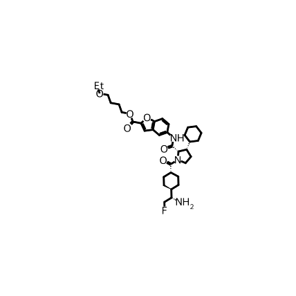 CCOCCCCOC(=O)c1cc2cc(NC(=O)[C@@H]3[C@H](C4CCCCC4)CCN3C(=O)[C@H]3CC[C@H]([C@H](N)CF)CC3)ccc2o1